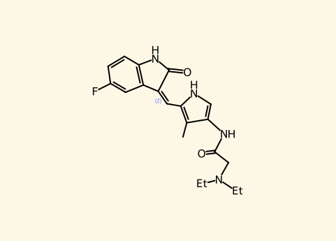 CCN(CC)CC(=O)Nc1c[nH]c(/C=C2\C(=O)Nc3ccc(F)cc32)c1C